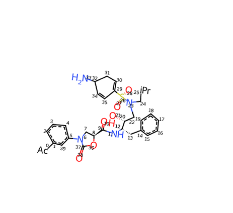 CC(=O)c1cccc(N2C[C@@H](C(=O)N[C@@H](Cc3ccccc3)[C@H](O)CN(CC(C)C)S(=O)(=O)C3=CCC(N)C=C3)OC2=O)c1